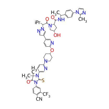 Cc1nccn1-c1ccc(C(C)NC(=O)C2CC(O)CN2C(=O)C(C(C)C)n2cc(-c3ccc(OC4CCN(c5ccc(N6C(=S)N(c7ccc(C#N)c(C(F)(F)F)c7)C(=O)C6(C)C)cn5)CC4)nc3)cn2)cc1